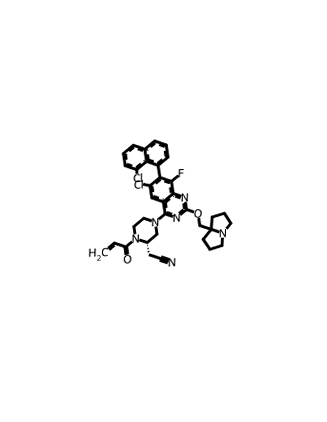 C=CC(=O)N1CCN(c2nc(OCC34CCCN3CCC4)nc3c(F)c(-c4cccc5cccc(Cl)c45)c(Cl)cc23)C[C@@H]1CC#N